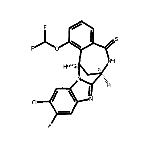 Fc1cc2nc3n(c2cc1Cl)[C@@H]1C[C@H]3NC(=S)c2cccc(OC(F)F)c21